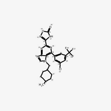 CC1CCC(Cn2cnc3nc(-c4noc(=O)[nH]4)nc(-c4cc(Cl)cc(C(F)(F)F)c4)c32)CC1